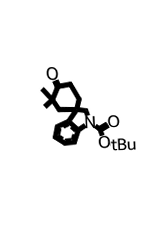 CC(C)(C)OC(=O)N1CC2(CCC(=O)C(C)(C)C2)c2ccccc21